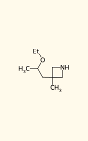 CCOC(C)CC1(C)CNC1